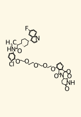 C[C@@H](C(=O)Nc1ccc(Cl)c(OCCOCCOCCOCCOc2cccc3c2C(=O)N(C2CCC(=O)NC2=O)C3=O)c1)[C@H]1CC[C@@H](c2ccnc3ccc(F)cc32)CC1